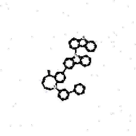 C=C1/C=C\C=C/N(c2cccc(-c3ccccc3)c2)c2ccc(-c3ccc4c(c3)c3ccccc3n4-c3cccc4sc5ccccc5c34)cc21